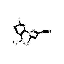 COc1ccc(Cl)nc1-n1nc(C#N)cc1C